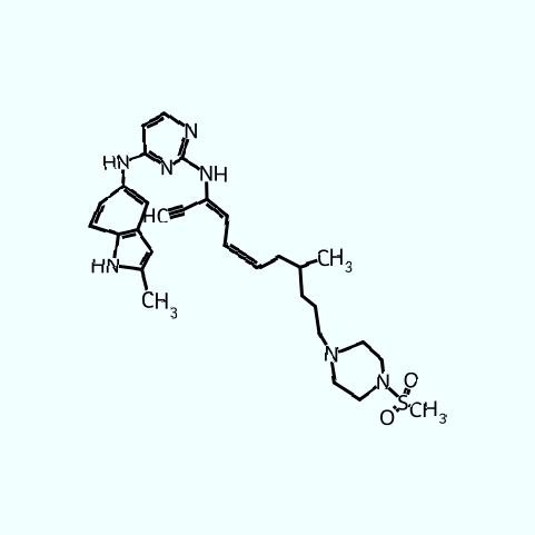 C#C/C(=C\C=C/CC(C)CCCN1CCN(S(C)(=O)=O)CC1)Nc1nccc(Nc2ccc3[nH]c(C)cc3c2)n1